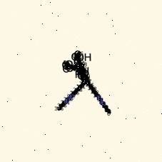 CCCCC/C=C/C/C=C/CCCCCCCCC1(CCCCCCCC/C=C/C/C=C/CCCCC)CCC2(CC1)O[C@H]1C[C@@H](N(C)CCOP(=O)(O)OC)[C@@H](N(C)CCOP(=O)(O)OC)C[C@H]1O2